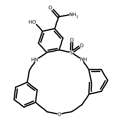 NC(=O)c1cc2c(cc1O)NCc1cccc(c1)COCCc1cccc(c1)NS2(=O)=O